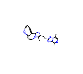 CC1=CN=C(C)C2NC(CCc3nc4c5cccnc5ccn4c3C)=NN12